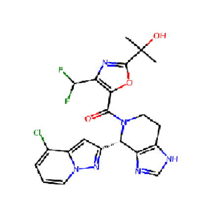 CC(C)(O)c1nc(C(F)F)c(C(=O)N2CCc3[nH]cnc3[C@@H]2c2cc3c(Cl)cccn3n2)o1